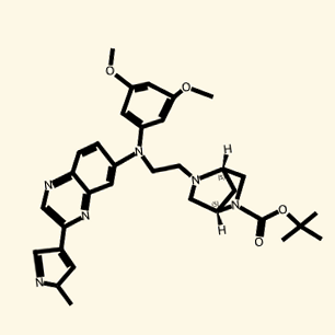 COc1cc(OC)cc(N(CCN2C[C@@H]3C[C@H]2CN3C(=O)OC(C)(C)C)c2ccc3ncc(C4=CC(C)N=C4)nc3c2)c1